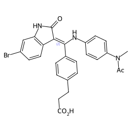 CC(=O)N(C)c1ccc(N/C(=C2\C(=O)Nc3cc(Br)ccc32)c2ccc(CCC(=O)O)cc2)cc1